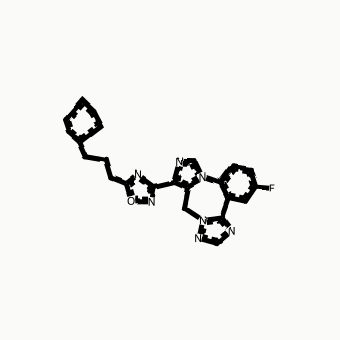 Fc1ccc2c(c1)-c1ncnn1Cc1c(-c3noc(CCCc4ccccc4)n3)ncn1-2